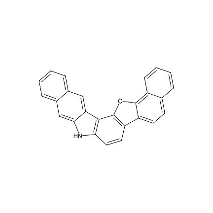 c1ccc2cc3c(cc2c1)[nH]c1ccc2c4ccc5ccccc5c4oc2c13